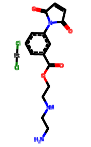 NCCNCCOC(=O)c1cccc(N2C(=O)C=CC2=O)c1.[Cl][Pt][Cl]